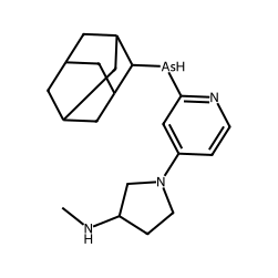 CNC1CCN(c2ccnc([AsH]C3C4CC5CC(C4)CC3C5)c2)C1